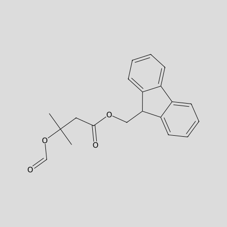 CC(C)(CC(=O)OCC1c2ccccc2-c2ccccc21)OC=O